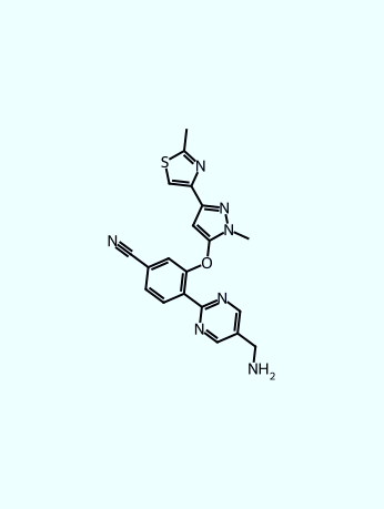 Cc1nc(-c2cc(Oc3cc(C#N)ccc3-c3ncc(CN)cn3)n(C)n2)cs1